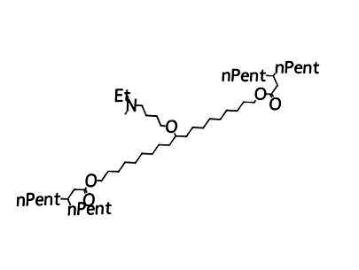 CCCCCC(CCCCC)CC(=O)OCCCCCCCCCC(CCCCCCCCCOC(=O)CC(CCCCC)CCCCC)OCCCCN(C)CC